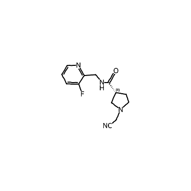 N#CCN1CC[C@@H](C(=O)NCc2ncccc2F)C1